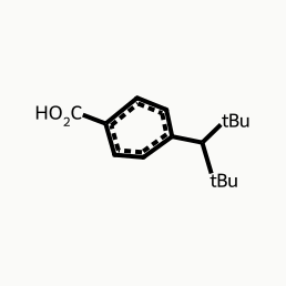 CC(C)(C)C(c1ccc(C(=O)O)cc1)C(C)(C)C